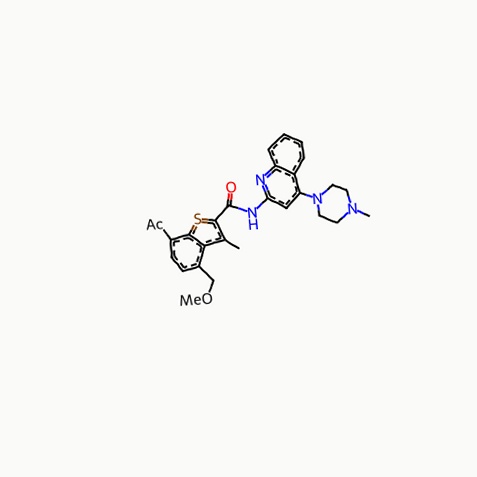 COCc1ccc(C(C)=O)c2sc(C(=O)Nc3cc(N4CCN(C)CC4)c4ccccc4n3)c(C)c12